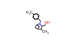 Cc1ccc(CN2C3CC(C3)C(C)C2CO)cc1